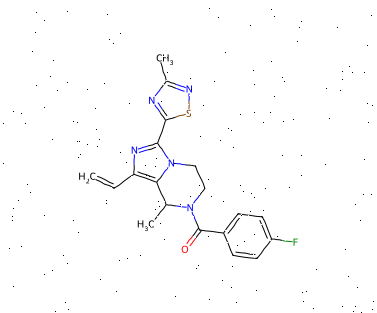 C=Cc1nc(-c2nc(C)ns2)n2c1C(C)N(C(=O)c1ccc(F)cc1)CC2